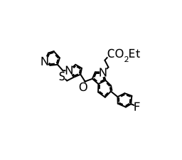 CCOC(=O)CCn1cc(C(=O)c2ccn3c2CSC3c2cccnc2)c2ccc(-c3ccc(F)cc3)cc21